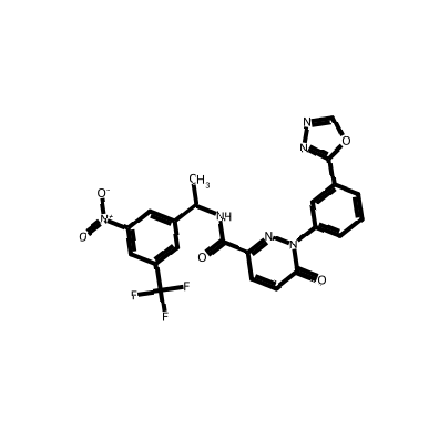 CC(NC(=O)c1ccc(=O)n(-c2cccc(-c3nnco3)c2)n1)c1cc([N+](=O)[O-])cc(C(F)(F)F)c1